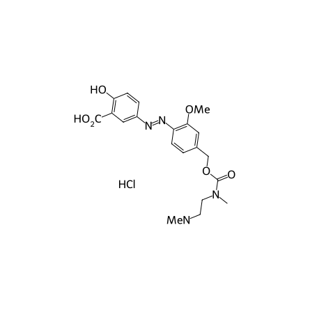 CNCCN(C)C(=O)OCc1ccc(/N=N/c2ccc(O)c(C(=O)O)c2)c(OC)c1.Cl